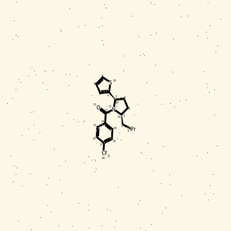 CC(C)C[C@@H]1CC[C@H](c2cccs2)N1C(=O)c1ccc(C(F)(F)F)cc1